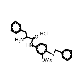 COc1cc(NC(=O)C(N)Cc2ccccc2)ccc1SCc1ccccc1.Cl